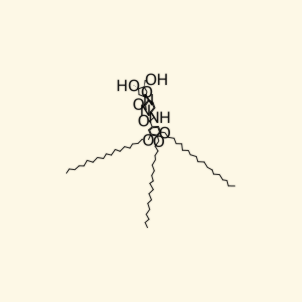 CCCCCCCCCCCCCCCCCCOc1cc(C(=O)Nc2ccn([C@H]3C[C@H](O)[C@@H](CO)O3)c(=O)n2)cc(OCCCCCCCCCCCCCCCCCC)c1OCCCCCCCCCCCCCCCCCC